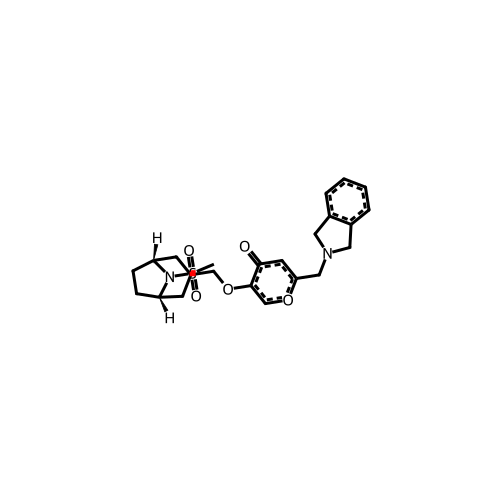 CS(=O)(=O)N1[C@@H]2CC[C@H]1CC(COc1coc(CN3Cc4ccccc4C3)cc1=O)C2